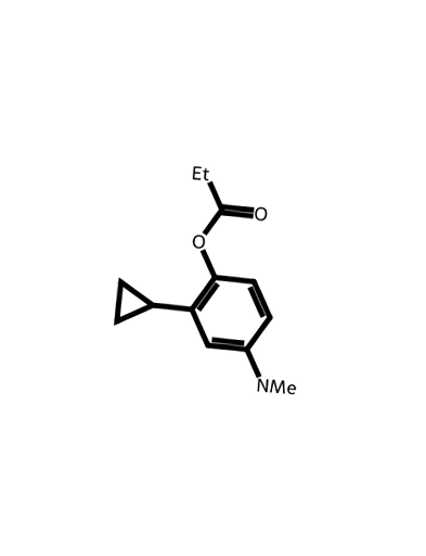 CCC(=O)Oc1ccc(NC)cc1C1CC1